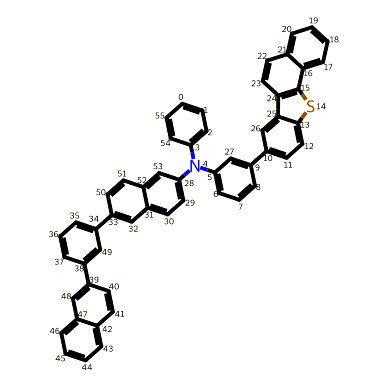 c1ccc(N(c2cccc(-c3ccc4sc5c6ccccc6ccc5c4c3)c2)c2ccc3cc(-c4cccc(-c5ccc6ccccc6c5)c4)ccc3c2)cc1